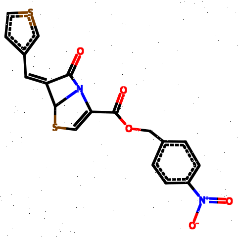 O=C(OCc1ccc([N+](=O)[O-])cc1)C1=CSC2C(=Cc3ccsc3)C(=O)N12